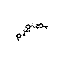 O=C(Nc1cc(NCc2cn3cc(C4CC4)ccc3n2)ccn1)[C@@H]1C[C@H]1c1cccc(Cl)c1